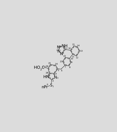 CCCSc1nc2c(Cc3ccc(-c4ccccc4-c4nnn[nH]4)cc3)ccc(C(=O)O)c2[nH]1